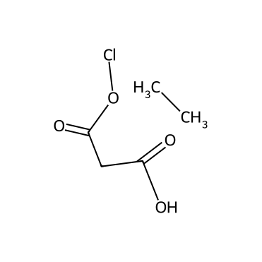 CC.O=C(O)CC(=O)OCl